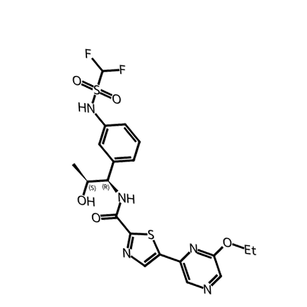 CCOc1cncc(-c2cnc(C(=O)N[C@H](c3cccc(NS(=O)(=O)C(F)F)c3)[C@H](C)O)s2)n1